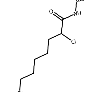 CC(C)(C)NC(=O)C(Cl)CCCCCBr